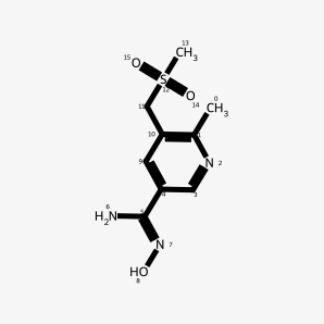 Cc1ncc(C(N)=NO)cc1CS(C)(=O)=O